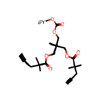 C#CCC(C)(C)C(=O)OCC(C)(COC(=O)OC(C)C)COC(=O)C(C)(C)CC#C